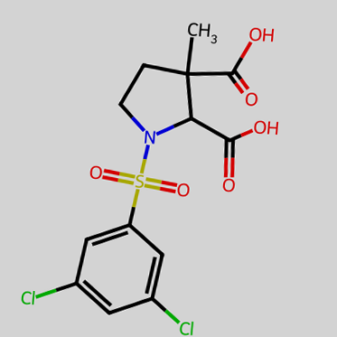 CC1(C(=O)O)CCN(S(=O)(=O)c2cc(Cl)cc(Cl)c2)C1C(=O)O